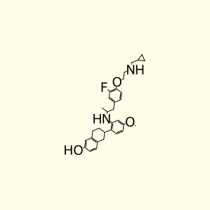 COc1ccc(C2CCc3cc(O)ccc3C2)c(NC(C)Cc2ccc(OCCNCC3CC3)c(F)c2)c1